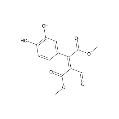 COC(=O)C([C]=O)=C(C(=O)OC)c1ccc(O)c(O)c1